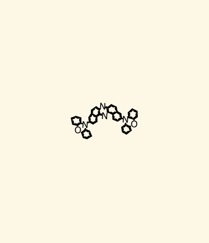 c1ccc2c(c1)Oc1ccccc1N2c1ccc2c(ccc3nc4ccc5cc(N6c7ccccc7Oc7ccccc76)ccc5c4nc32)c1